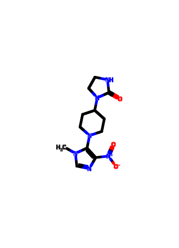 Cn1cnc([N+](=O)[O-])c1N1CCC(N2CCNC2=O)CC1